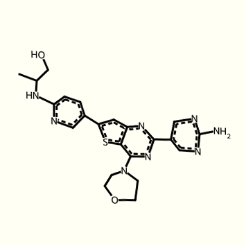 CC(CO)Nc1ccc(-c2cc3nc(-c4cnc(N)nc4)nc(N4CCOCC4)c3s2)cn1